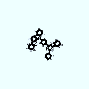 c1ccc(-c2nc(-c3ccc(-n4c5ccccc5c5ccc6c7ccccc7sc6c54)cc3)c3oc4ccccc4c3n2)cc1